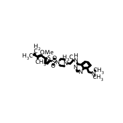 C=C(C)/C(C)=C(\OC)c1ccc(S(=O)(=O)N2CCN(C[C@H](C)Nc3ncnc4c(CN(C)C)cccc34)CC2)s1